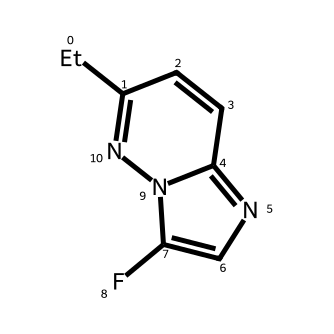 CCc1ccc2ncc(F)n2n1